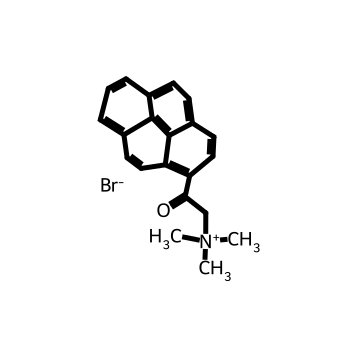 C[N+](C)(C)CC(=O)c1ccc2ccc3cccc4ccc1c2c34.[Br-]